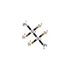 CC(C)[Si](Br)(Br)[Si](Br)(Br)C(C)C